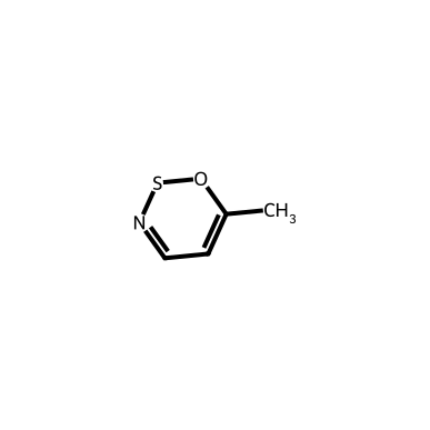 CC1=CC=NSO1